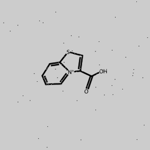 O=C(O)c1csc2cccc[n+]12